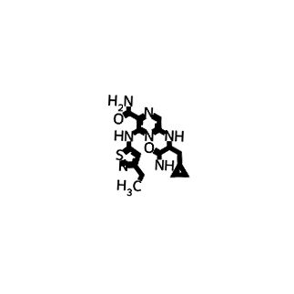 CCc1cc(Nc2nc(NC(CC3CC3)C(N)=O)cnc2C(N)=O)sn1